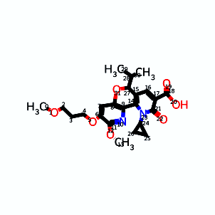 COCCCOc1cc2c(nc1OC)-c1c(cc(C(=O)O)c(=O)n1C1CC1)C(C(C)C)O2